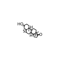 C[C@]12CC[C@H]3[C@@H](CC4SC45C[C@@H](O)CC[C@]35C)[C@@H]1CCC2=O